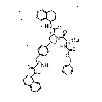 CC(C)(C)[C@H](NC(=O)OCc1ccccc1)C(=O)N1CC(c2ccc(C[C@H](N)C(=O)NC3CCCc4ccccc43)cc2)C[C@H]1C(=O)NC1CCCc2ccccc21